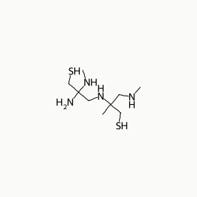 CNCC(C)(CS)NCC(N)(CS)NC